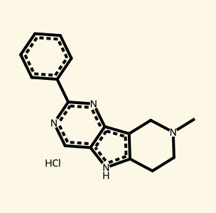 CN1CCc2[nH]c3cnc(-c4ccccc4)nc3c2C1.Cl